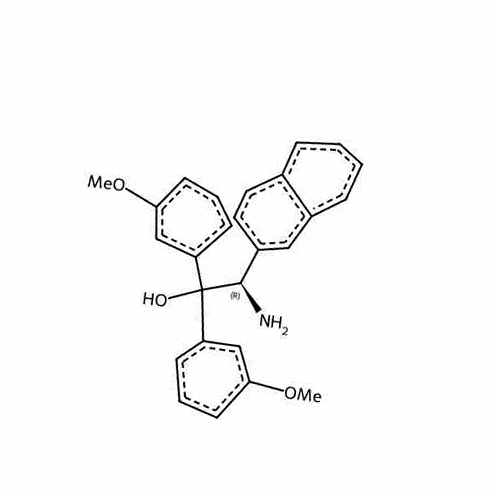 COc1cccc(C(O)(c2cccc(OC)c2)[C@H](N)c2ccc3ccccc3c2)c1